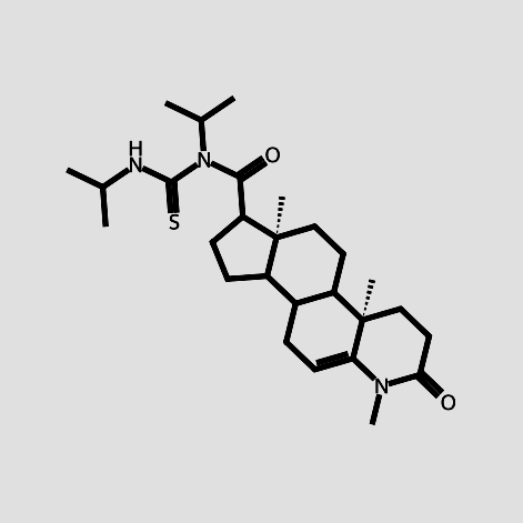 CC(C)NC(=S)N(C(=O)C1CCC2C3CC=C4N(C)C(=O)CC[C@]4(C)C3CC[C@]12C)C(C)C